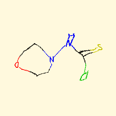 S=C(Cl)NN1CCOCC1